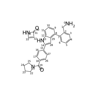 NCc1ccccc1-c1cccc2[nH]c(-c3ccc(C(=O)N4CCCC4)cc3)cc12.O=C1C=CN1